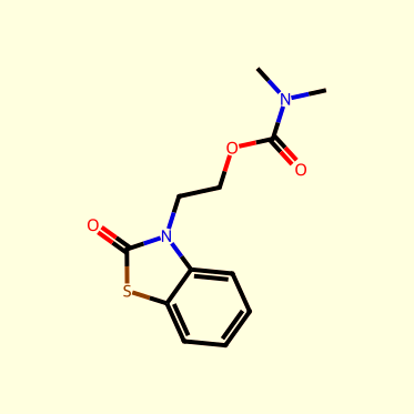 CN(C)C(=O)OCCn1c(=O)sc2ccccc21